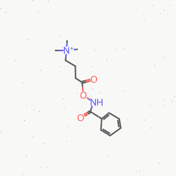 C[N+](C)(C)CCCC(=O)ONC(=O)c1ccccc1